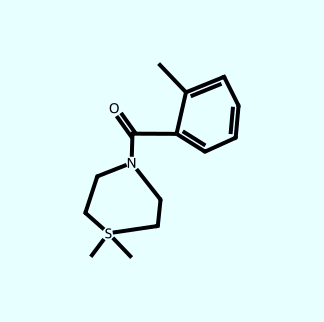 Cc1ccccc1C(=O)N1CCS(C)(C)CC1